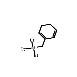 CC[N+](CC)(CC)CC1=CCCC=C1